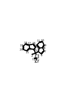 C=C.CC(Cl)(C1C=Cc2ccccc21)C1C=Cc2ccccc21.[Zr]